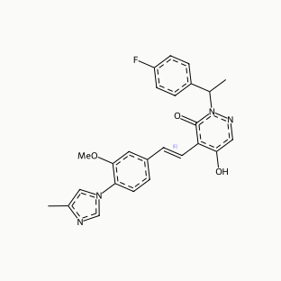 COc1cc(/C=C/c2c(O)cnn(C(C)c3ccc(F)cc3)c2=O)ccc1-n1cnc(C)c1